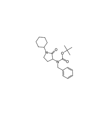 CC(C)(C)OC(=O)N(Cc1ccccc1)C1CCN(C2CCCCC2)C1=O